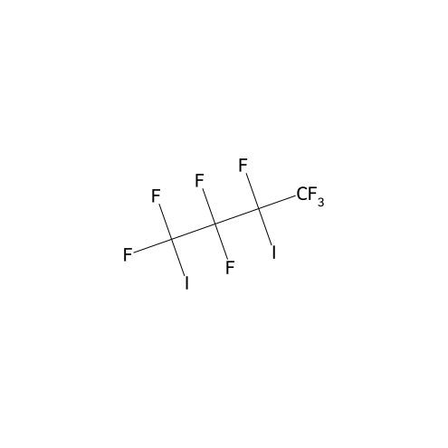 FC(F)(F)C(F)(I)C(F)(F)C(F)(F)I